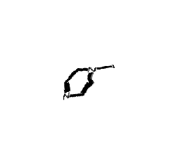 IN1C=CN=CC1